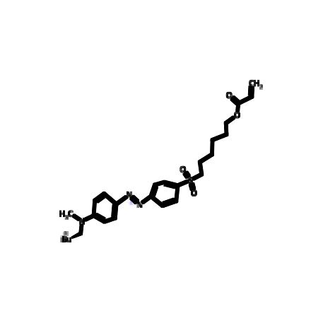 C=CC(=O)OCCCCCCS(=O)(=O)c1ccc(/N=N/c2ccc(N(C)C[C@H](C)CC)cc2)cc1